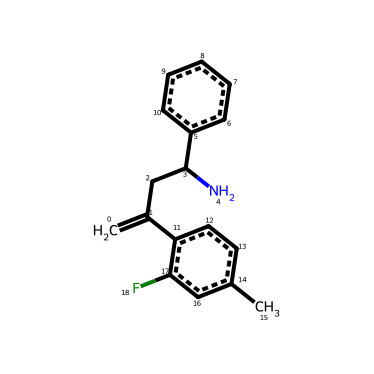 C=C(CC(N)c1ccccc1)c1ccc(C)cc1F